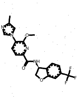 COc1nc(C(=O)N[C@@H]2COc3cc(C(F)(F)F)ccc32)ccc1-n1cnc(C)c1